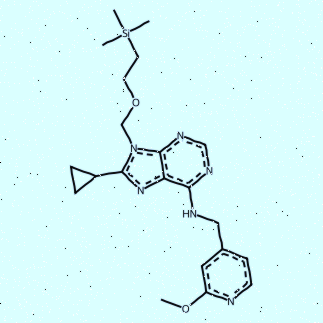 COc1cc(CNc2ncnc3c2nc(C2CC2)n3COCC[Si](C)(C)C)ccn1